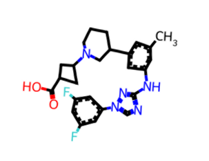 Cc1cc(Nc2ncn(-c3cc(F)cc(F)c3)n2)cc(C2CCCN(C3CC(C(=O)O)C3)C2)c1